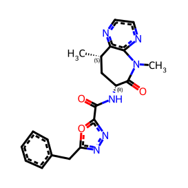 C[C@H]1C[C@@H](NC(=O)c2nnc(Cc3ccccc3)o2)C(=O)N(C)c2nccnc21